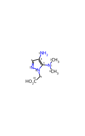 CN(C)c1c(N)cnn1CC(=O)O